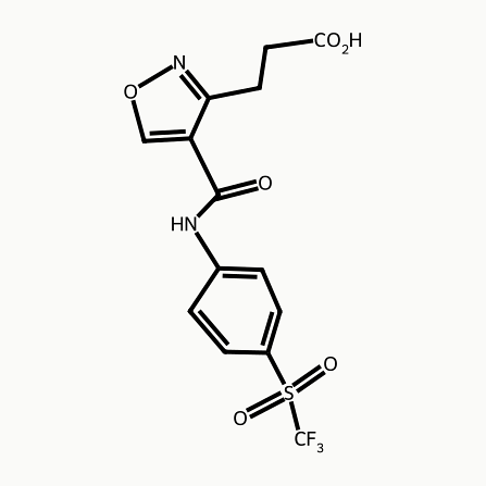 O=C(O)CCc1nocc1C(=O)Nc1ccc(S(=O)(=O)C(F)(F)F)cc1